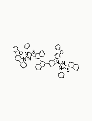 c1ccc(-c2nc(-n3c4ccc(-c5cc(-c6cc7c8nc(-n9c%10ccccc%10c%10ccc%11c%12ccccc%12oc%11c%109)nc(-c9ccccc9)c8sc7c7ccccc67)c6ccccc6c5)cc4c4cc5c(cc43)oc3ccccc35)nc3c2sc2c4ccccc4ccc32)cc1